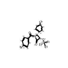 CC[Si](CC)(CC)O[C@@H]1C(=O)N(C(=O)c2ccc(Br)cc2)[C@@H]1c1ccc(Cl)cc1